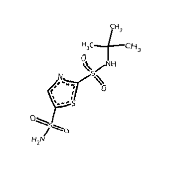 CC(C)(C)NS(=O)(=O)c1ncc(S(N)(=O)=O)s1